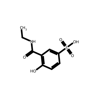 CCNC(=O)c1cc(S(=O)(=O)O)ccc1O